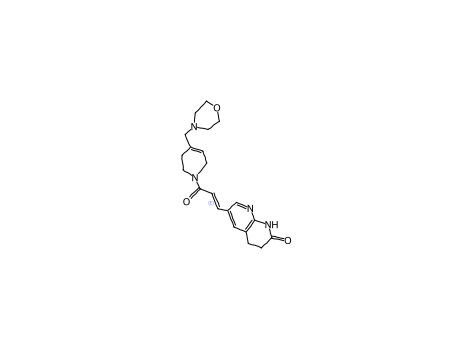 O=C1CCc2cc(/C=C/C(=O)N3CC=C(CN4CCOCC4)CC3)cnc2N1